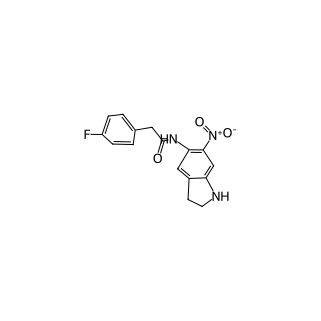 O=C(Cc1ccc(F)cc1)Nc1cc2c(cc1[N+](=O)[O-])NCC2